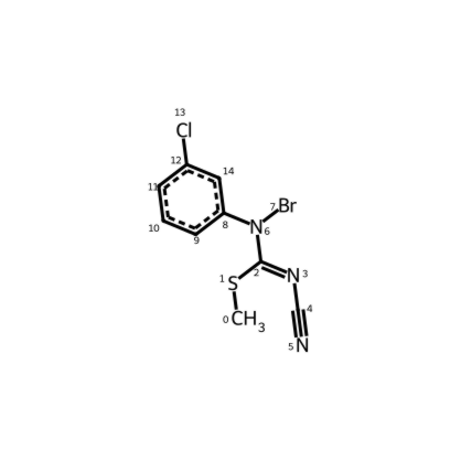 CSC(=NC#N)N(Br)c1cccc(Cl)c1